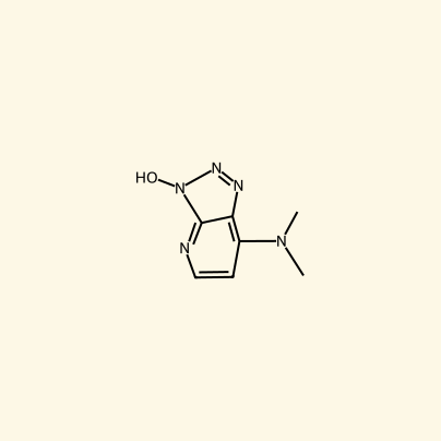 CN(C)c1ccnc2c1nnn2O